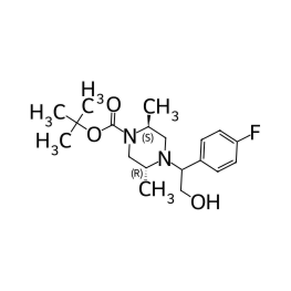 C[C@@H]1CN(C(=O)OC(C)(C)C)[C@@H](C)CN1C(CO)c1ccc(F)cc1